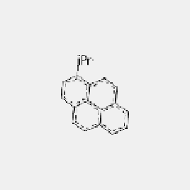 C[C](C)c1ccc2ccc3cccc4ccc1c2c34